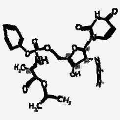 CC(C)OC(=O)[C@H](C)NP(=O)(OC[C@H]1O[C@@H](n2ccc(=O)[nH]c2=O)[C@H](N=[N+]=[N-])[C@@H]1O)Oc1ccccc1